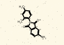 Cc1ccc(N2C(=O)c3ccc(N)cc3C2=O)c(C)c1